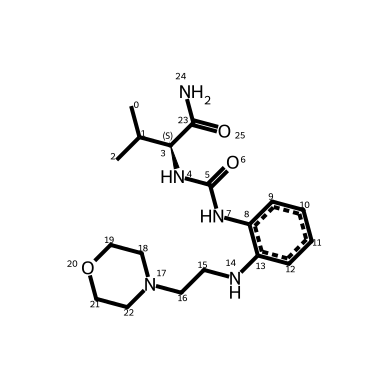 CC(C)[C@H](NC(=O)Nc1ccccc1NCCN1CCOCC1)C(N)=O